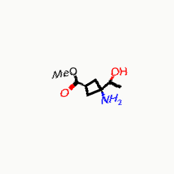 COC(=O)[C@H]1C[C@](N)(C(C)O)C1